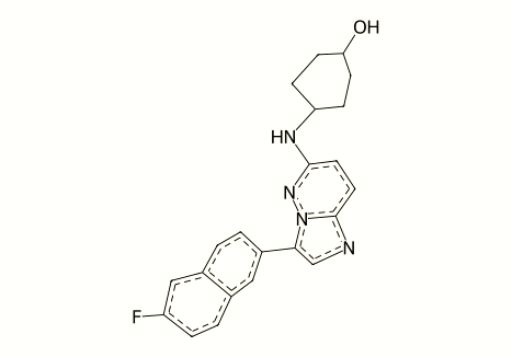 OC1CCC(Nc2ccc3ncc(-c4ccc5cc(F)ccc5c4)n3n2)CC1